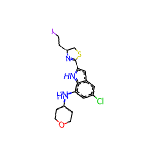 Clc1cc(NC2CCOCC2)c2[nH]c(C3=NC(CCI)CS3)cc2c1